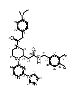 COc1ccc(CC(=O)N2CCN(c3ccnc(-n4ccnc4)n3)C(CC(=O)NCc3ccc(C)c(C)c3)C2)cc1